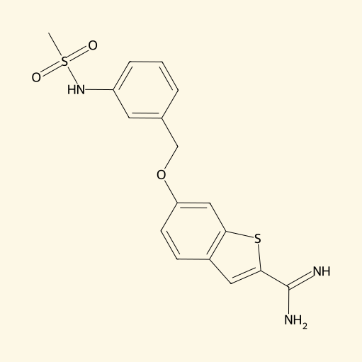 CS(=O)(=O)Nc1cccc(COc2ccc3cc(C(=N)N)sc3c2)c1